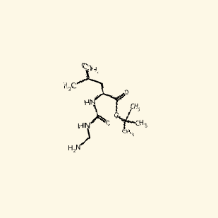 CC(C)C[C@H](NC(=O)NCN)C(=O)OC(C)(C)C